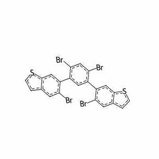 Brc1cc(Br)c(-c2cc3sccc3cc2Br)cc1-c1cc2sccc2cc1Br